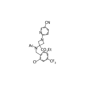 CCOC(=O)C1(N(Cc2ccc(C(F)(F)F)cc2Cl)C(C)=O)CN(c2ccc(C#N)cn2)C1